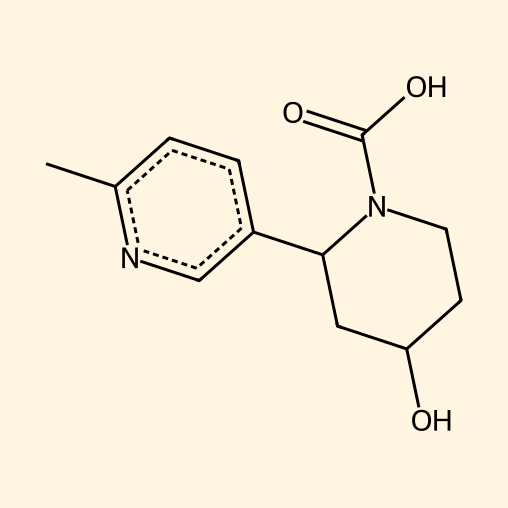 Cc1ccc(C2CC(O)CCN2C(=O)O)cn1